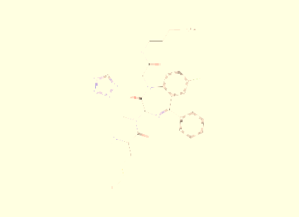 CSCC[C@H](NC(=O)CN1C(=O)C(N(C)C(=O)C(N)CSSC(C)(C)C)N=C(c2ccccc2)c2cc(Cl)ccc21)C(=O)O.c1nnn[nH]1